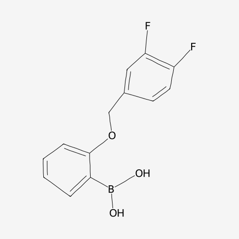 OB(O)c1ccccc1OCc1ccc(F)c(F)c1